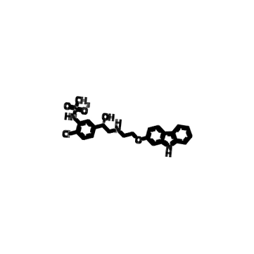 CS(=O)(=O)Nc1cc([C@H](O)CNCCOc2ccc3c(c2)[nH]c2ccccc23)ccc1Cl